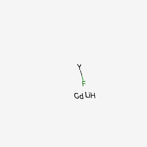 [F][Y].[Gd].[LiH]